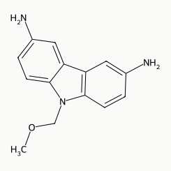 COCn1c2ccc(N)cc2c2cc(N)ccc21